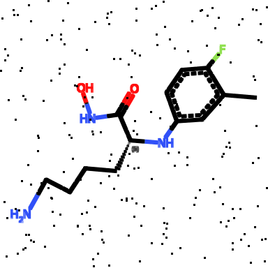 Cc1cc(N[C@H](CCCCN)C(=O)NO)ccc1F